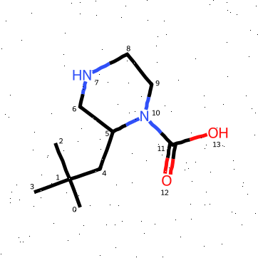 CC(C)(C)CC1CNCCN1C(=O)O